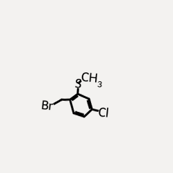 CSc1cc(Cl)ccc1CBr